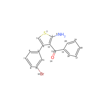 Nc1scc(-c2cccc(Br)c2)c1C(=O)c1ccccc1